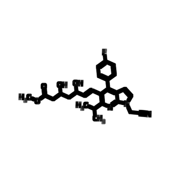 COC(=O)CC(O)CC(O)C=Cc1c(C(C)C)nc2c(ccn2CC#N)c1-c1ccc(F)cc1